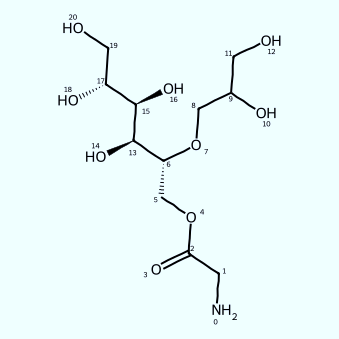 NCC(=O)OC[C@@H](OCC(O)CO)[C@@H](O)[C@H](O)[C@H](O)CO